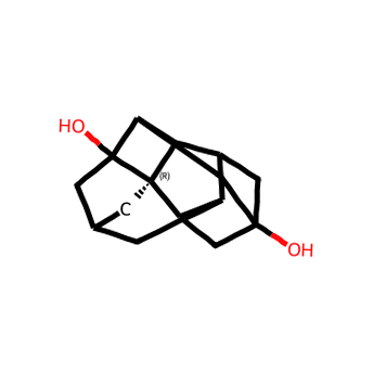 OC12CC3C4CC5CC6(O)C(C1)C3[C@@]6(C5)C4C2